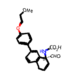 COCCOc1ccc(-c2ccc3c(c2)[C@@](C=O)(NC(=O)O)C=CC3)cc1